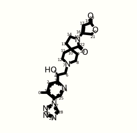 Cc1cc([C@@H](O)CN2CCC3(CC2)CCN(C2=CC(=O)OC2)C3=O)ncc1-n1cnnn1